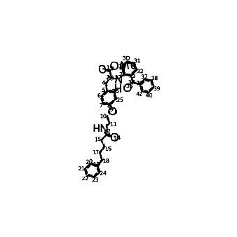 COC(=O)[C@H](Cc1ccc(OCCNC(=O)CCCCc2ccccc2)cc1)Nc1ccccc1C(=O)c1ccccc1